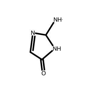 [NH]C1N=CC(=O)N1